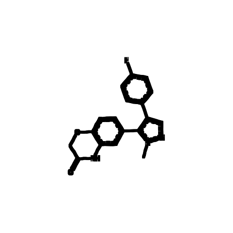 Cn1ncc(-c2ccc(F)cc2)c1-c1ccc2c(c1)NC(=O)CO2